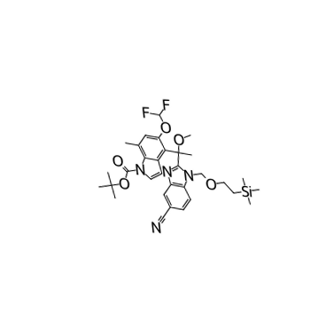 COC(C)(c1c(OC(F)F)cc(C)c2c1ccn2C(=O)OC(C)(C)C)c1nc2cc(C#N)ccc2n1COCC[Si](C)(C)C